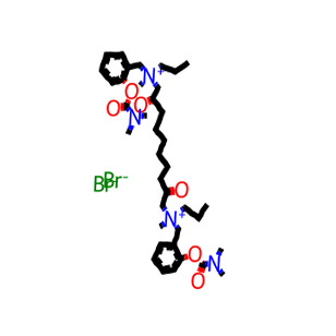 CCC[N+](C)(CC(=O)CCCCCCC(=O)C[N+](C)(CCC)Cc1ccccc1OC(=O)N(C)C)Cc1ccccc1OC(=O)N(C)C.[Br-].[Br-]